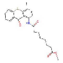 COC(=O)CCCCCCC(=O)Nc1ccc(C)c2sc3ccccc3c(=O)c12